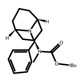 CN(C(=O)OC(C)(C)C)[C@@H]1C[C@H]2CCC[C@@H](C1)N2Cc1ccccc1